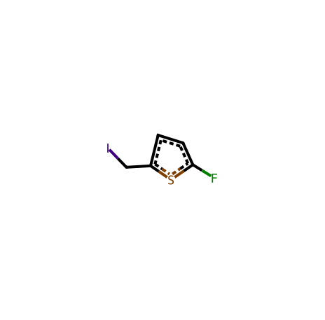 Fc1ccc(CI)s1